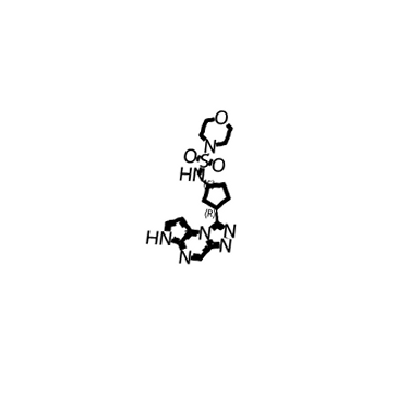 O=S(=O)(N[C@H]1CC[C@@H](c2nnc3cnc4[nH]ccc4n23)C1)N1CCOCC1